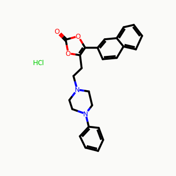 Cl.O=c1oc(CCN2CCN(c3ccccc3)CC2)c(-c2ccc3ccccc3c2)o1